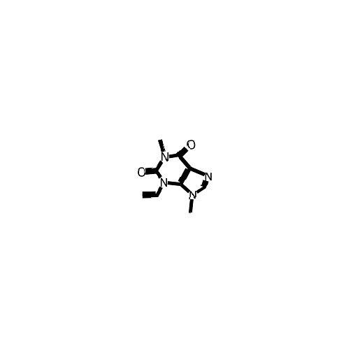 C=Cn1c(=O)n(C)c(=O)c2ncn(C)c21